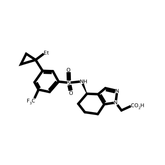 CCC1(c2cc(C(F)(F)F)cc(S(=O)(=O)N[C@@H]3CCCc4c3cnn4CC(=O)O)c2)CC1